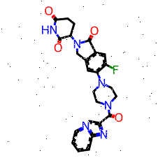 O=C1CCC(N2Cc3cc(N4CCN(C(=O)c5cn6ccccc6n5)CC4)c(F)cc3C2=O)C(=O)N1